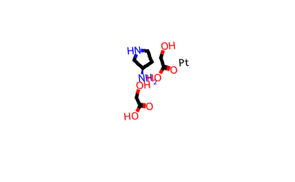 N[C@@H]1CCNC1.O=C(O)CO.O=C(O)CO.[Pt]